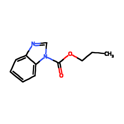 CCCOC(=O)n1cnc2ccccc21